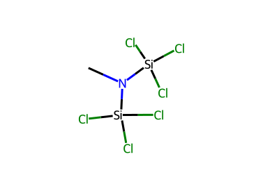 CN([Si](Cl)(Cl)Cl)[Si](Cl)(Cl)Cl